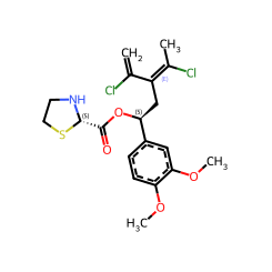 C=C(Cl)/C(C[C@H](OC(=O)[C@H]1NCCS1)c1ccc(OC)c(OC)c1)=C(\C)Cl